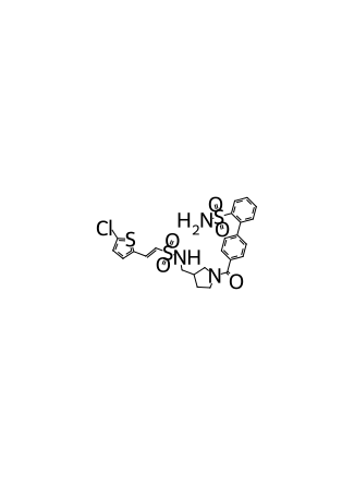 NS(=O)(=O)c1ccccc1-c1ccc(C(=O)N2CCC(CNS(=O)(=O)C=Cc3ccc(Cl)s3)C2)cc1